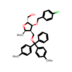 COc1ccc(C(OC[C@H]2[C@@H](OC)O[C@H](CO)[C@H]2OCc2ccc(Cl)cc2)(c2ccccc2)c2ccc(OC)cc2)cc1